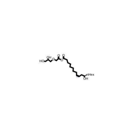 CCCCCC[C@@H](O)C/C=C\CCCCCCCC(=O)OC(=O)COCC(O)CO